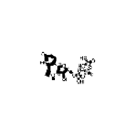 C#Cc1[nH]c(=O)ccc1[C@@H]1O[C@H](COP(=O)(O)OP(=O)(O)OP(=O)(O)O)C(O)[C@@H]1OC